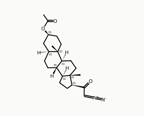 CC(=O)O[C@H]1CC[C@@]2(C)[C@@H](CC[C@@H]3[C@@H]2CC[C@]2(C)[C@@H](C(=O)C=[N+]=[N-])CC[C@@H]32)C1